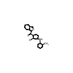 Cc1ccccc1Nc1ccc(C(=S)c2occ3ccccc23)c(Cl)c1